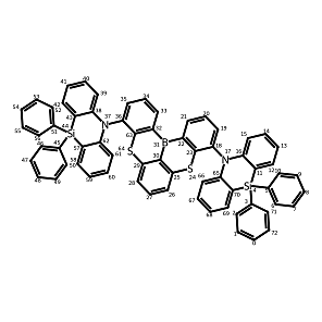 c1ccc([Si]2(c3ccccc3)c3ccccc3N(c3cccc4c3Sc3cccc5c3B4c3cccc(N4c6ccccc6[Si](c6ccccc6)(c6ccccc6)c6ccccc64)c3S5)c3ccccc32)cc1